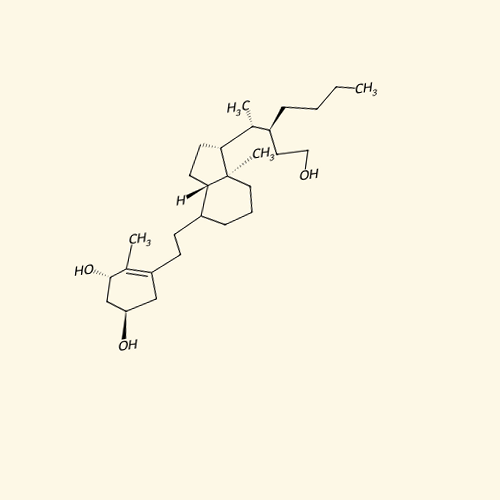 CCCC[C@@H](CCO)[C@@H](C)[C@H]1CC[C@H]2C(CCC3=C(C)[C@@H](O)C[C@H](O)C3)CCC[C@]12C